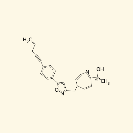 C=CCC#Cc1ccc(-c2cc(CC3C=CN=C([C@H](C)O)C=C3)no2)cc1